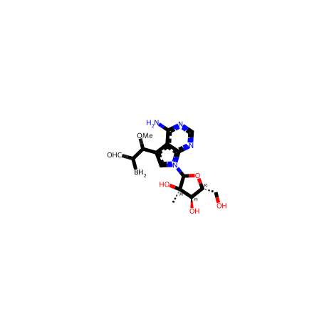 BC(C=O)C(OC)c1cn(C2O[C@H](CO)[C@@H](O)[C@@]2(C)O)c2ncnc(N)c12